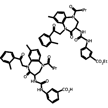 CCOC(=O)c1cccc(NC(=O)NC2CN(C(=O)C(C)C)c3ccc(C)cc3N(CC(=O)c3ccccc3C)C2=O)c1.Cc1ccc2c(c1)N(CC(=O)c1ccccc1C)C(=O)C(NC(=O)Nc1cccc(C(=O)O)c1)CN2C(=O)C(C)C